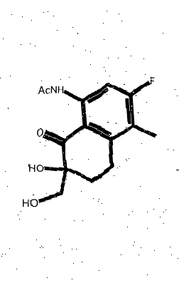 CC(=O)Nc1cc(F)c(C)c2c1C(=O)C(O)(CO)CC2